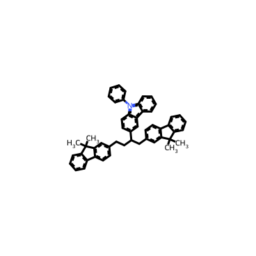 CC1(C)c2ccccc2-c2ccc(CCC(Cc3ccc4c(c3)C(C)(C)c3ccccc3-4)c3ccc4c(c3)c3ccccc3n4-c3ccccc3)cc21